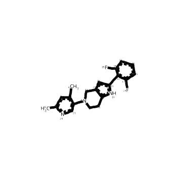 Cc1cc(C)c(N2CCc3[nH]c(-c4c(F)cccc4F)cc3C2)cn1